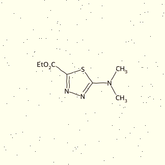 CCOC(=O)c1nnc(N(C)C)s1